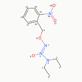 CCN(CC)[N+]([O-])=NOCc1ccccc1[N+](=O)[O-]